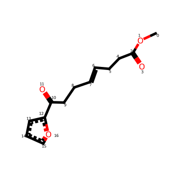 COC(=O)CCC=CCCC(=O)c1ccco1